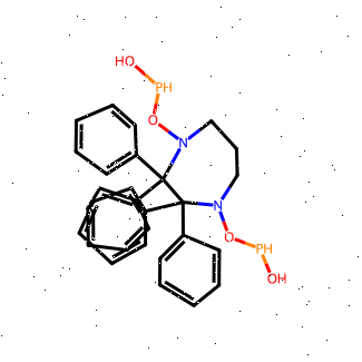 OPON1CCCN(OPO)C(c2ccccc2)(c2ccccc2)C1(c1ccccc1)c1ccccc1